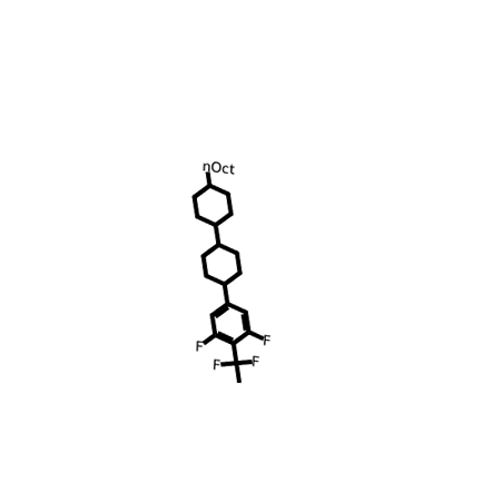 CCCCCCCCC1CCC(C2CCC(c3cc(F)c(C(C)(F)F)c(F)c3)CC2)CC1